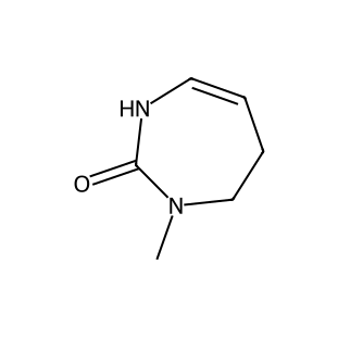 CN1CCC=CNC1=O